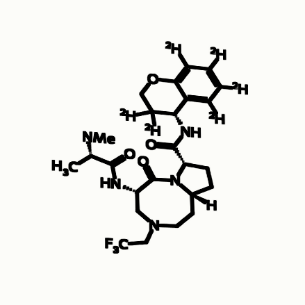 [2H]c1c([2H])c([2H])c2c(c1[2H])OCC([2H])([2H])[C@H]2NC(=O)[C@@H]1CC[C@@H]2CCN(CC(F)(F)F)C[C@H](NC(=O)[C@H](C)NC)C(=O)N21